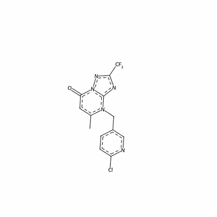 Cc1cc(=O)n2nc(C(F)(F)F)nc2n1Cc1ccc(Cl)nc1